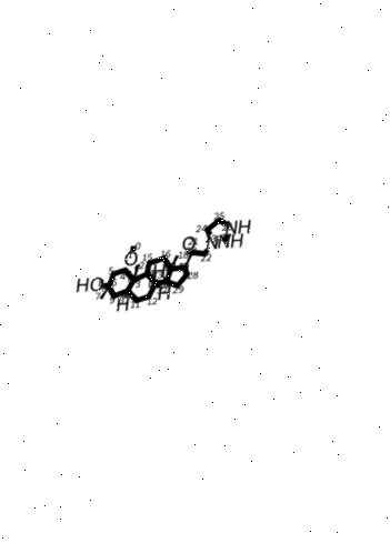 COC[C@]12CC[C@@](C)(O)C[C@@H]1CC[C@@H]1C2CC[C@]2(C)[C@@H](C(=O)CN3CCNN3)CC[C@@H]12